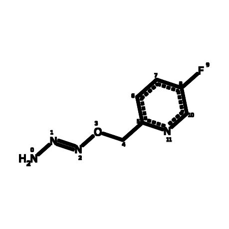 NN=NOCc1ccc(F)cn1